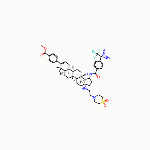 COC(=O)c1ccc(C2=CC[C@]3(C)[C@H]4CC[C@@H]5[C@H]6[C@H](NC(=O)c7ccc(C8(C(F)(F)F)NN8)cc7)CC[C@]6(NCCN6CCS(=O)(=O)CC6)CC[C@@]5(C)[C@]4(C)CC[C@H]3C2(C)C)cc1